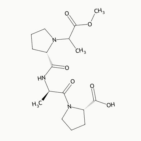 COC(=O)C(C)N1CCC[C@H]1C(=O)N[C@H](C)C(=O)N1CCC[C@H]1C(=O)O